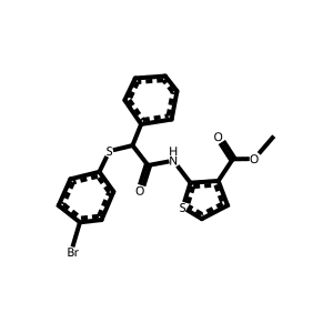 COC(=O)c1ccsc1NC(=O)C(Sc1ccc(Br)cc1)c1ccccc1